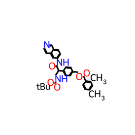 Cc1ccc(C(=O)OCc2ccc(C(CNC(=O)OC(C)(C)C)C(=O)Nc3ccc4cnccc4c3)cc2)c(C)c1